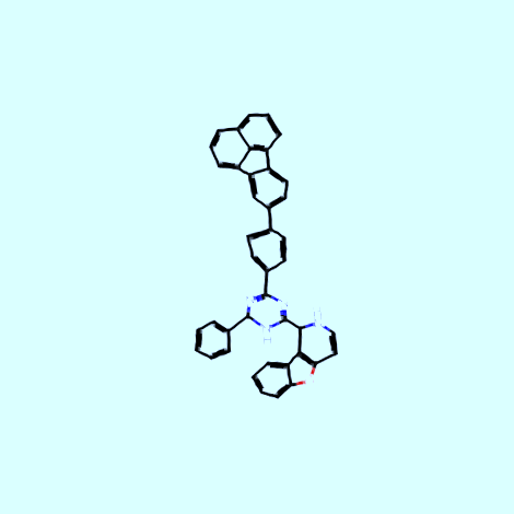 C1=Cc2oc3ccccc3c2C(C2=NC(c3ccc(-c4ccc5c(c4)-c4cccc6cccc-5c46)cc3)=NC(c3ccccc3)N2)N1